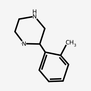 Cc1ccccc1C1CNCC[N]1